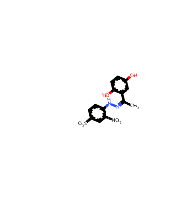 CC(=NNc1ccc([N+](=O)[O-])cc1[N+](=O)[O-])c1cc(O)ccc1O